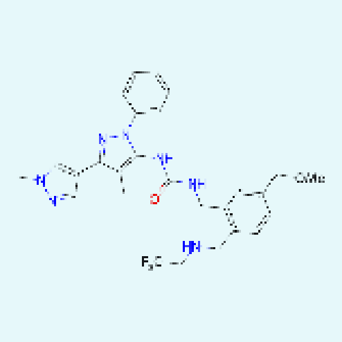 COCc1ccc(CNCC(F)(F)F)c(CNC(=O)Nc2c(C)c(-c3cnn(C)c3)nn2-c2ccccc2)c1